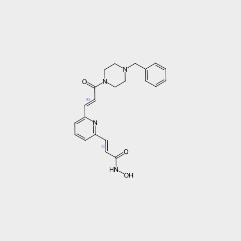 O=C(/C=C/c1cccc(/C=C/C(=O)N2CCN(Cc3ccccc3)CC2)n1)NO